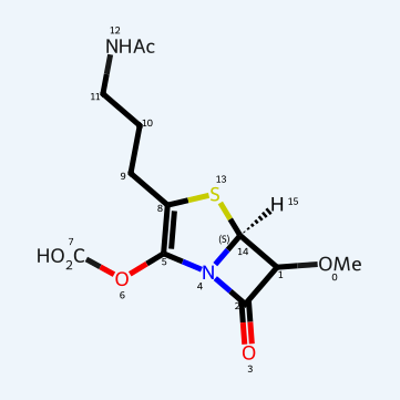 COC1C(=O)N2C(OC(=O)O)=C(CCCNC(C)=O)S[C@@H]12